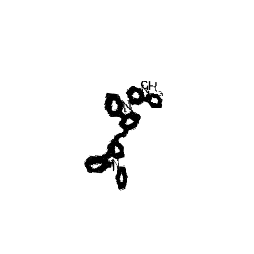 Cn1c2c(c3cc(-n4c5ccccc5c5cc(CCc6ccc7c(c6)c6ccccc6n7-c6ccccc6)ccc54)ccc31)C=CCC2